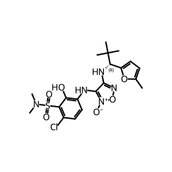 Cc1ccc([C@H](Nc2no[n+]([O-])c2Nc2ccc(Cl)c(S(=O)(=O)N(C)C)c2O)C(C)(C)C)o1